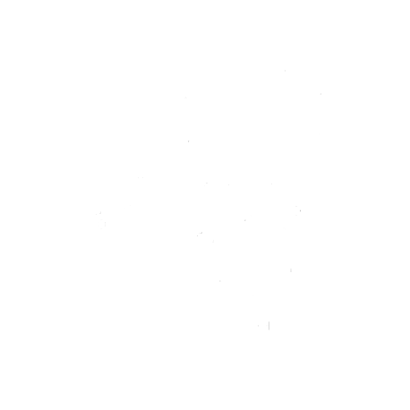 O=C1C2CCCC3CCCC(C32)C1(C1CCC(O)CC1)C1CCC(O)CC1